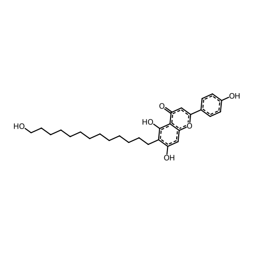 O=c1cc(-c2ccc(O)cc2)oc2cc(O)c(CCCCCCCCCCCCCO)c(O)c12